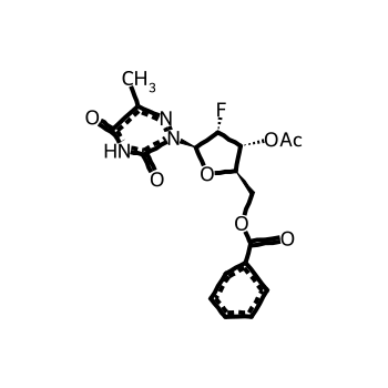 CC(=O)O[C@H]1[C@@H](F)[C@H](n2nc(C)c(=O)[nH]c2=O)O[C@@H]1COC(=O)c1ccccc1